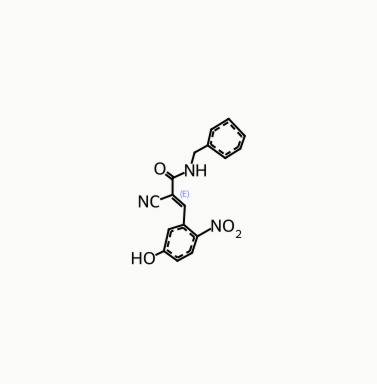 N#C/C(=C\c1cc(O)ccc1[N+](=O)[O-])C(=O)NCc1ccccc1